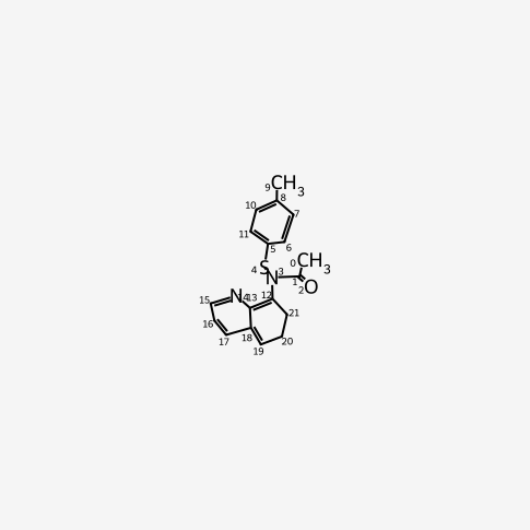 CC(=O)N(Sc1ccc(C)cc1)C1=c2ncccc2=CCC1